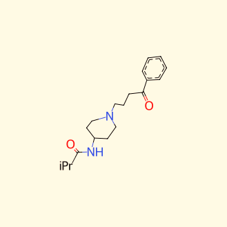 CC(C)C(=O)NC1CCN(CCCC(=O)c2ccccc2)CC1